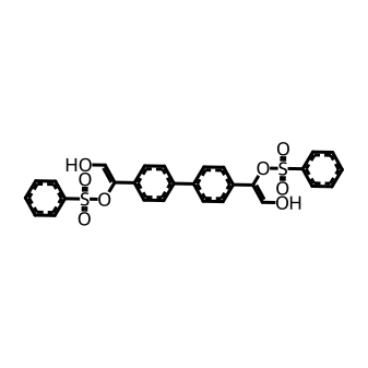 O=S(=O)(OC(=CO)c1ccc(-c2ccc(C(=CO)OS(=O)(=O)c3ccccc3)cc2)cc1)c1ccccc1